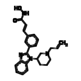 C=CCN1CCCC(n2c(-c3cccc(C=CC(=O)NO)c3)nc3ccccc32)C1